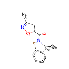 CCC1=NOC(C(=O)N2Sc3ccccc3[C@@H]2C(C)(C)C)C1